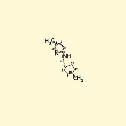 Cc1ccc(NC[C@H]2CC[C@H](C)CC2)nc1